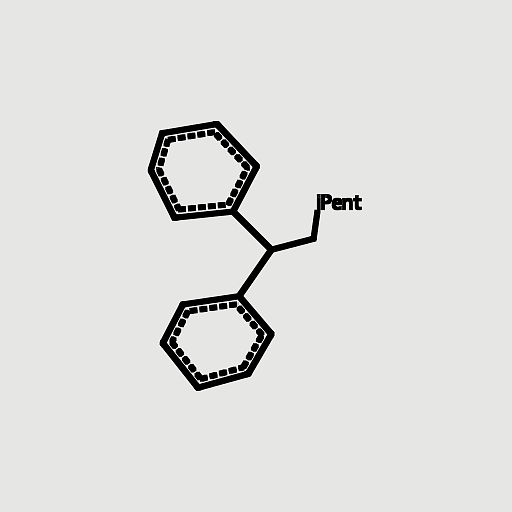 CCCC(C)CC(c1ccccc1)c1ccccc1